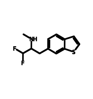 CNC(Cc1ccc2ccsc2c1)C(F)F